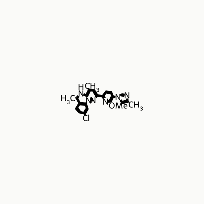 COc1nc(-c2cc(C)c(N[C@@H](C)c3ccc(Cl)cc3)nn2)ccc1-n1cnc(C)c1